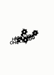 CN(C=O)C(=N)N[C@H](CCC1CCCCC1)C[C@H]1CCCC(NC(=O)NC(=O)c2ccccc2)C1